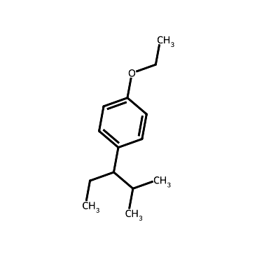 CCOc1ccc(C(CC)C(C)C)cc1